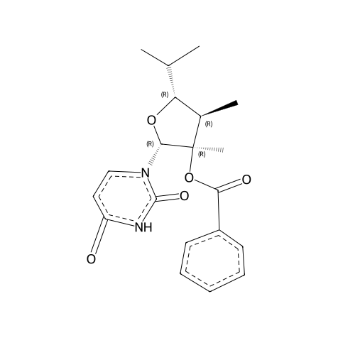 CC(C)[C@H]1O[C@@H](n2ccc(=O)[nH]c2=O)[C@](C)(OC(=O)c2ccccc2)[C@@H]1C